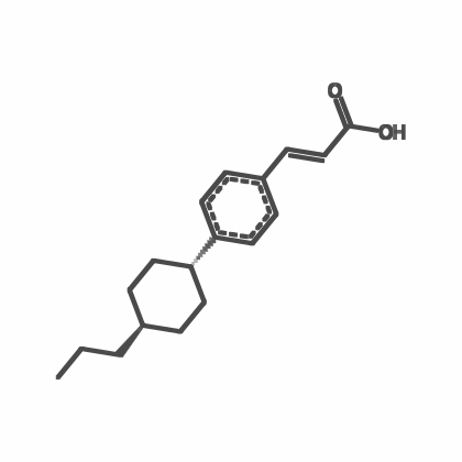 CCC[C@H]1CC[C@H](c2ccc(C=CC(=O)O)cc2)CC1